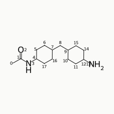 CC(=O)NC1CCC(CC2CCC(N)CC2)CC1